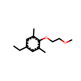 C[CH]c1cc(C)c(OCCOC)c(C)c1